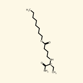 CCCCCCCCOC(=O)CCCN[C@@H](CC)C(N)=O